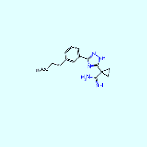 CCCCCCCCCCCCc1cccc(-c2n[nH]c(C3(C(=N)N)CC3)n2)c1